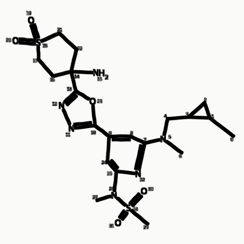 CC1CC1CN(C)c1cc(-c2nnc(C3(N)CCS(=O)(=O)CC3)o2)cc(N(C)S(C)(=O)=O)n1